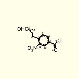 O=COCc1ccc(C(=O)Cl)cc1[N+](=O)[O-]